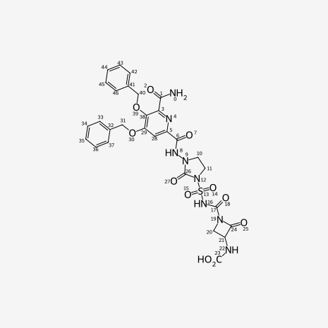 NC(=O)c1nc(C(=O)NN2CCN(S(=O)(=O)NC(=O)N3CC(NC(=O)O)C3=O)C2=O)cc(OCc2ccccc2)c1OCc1ccccc1